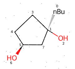 CCCC[C@@]1(O)CC[C@H](O)C1